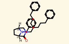 O=C1[C@@H]2CC[C@H](CN1CC(CCCc1ccccc1)CCCc1ccccc1)N2Cc1ccccc1